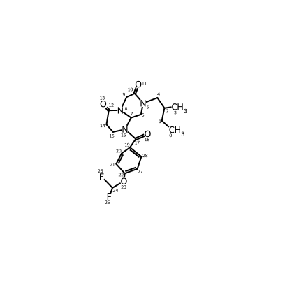 CCC(C)CN1CC2N(CC1=O)C(=O)CCN2C(=O)c1ccc(OC(F)F)cc1